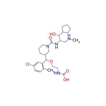 CNCC(NC(=O)N1CCCC(C(OCCNC(=O)O)c2cc(Cl)ccc2C)C1)C(O)C1CCCC1